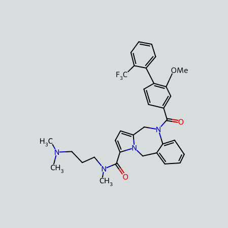 COc1cc(C(=O)N2Cc3ccc(C(=O)N(C)CCCN(C)C)n3Cc3ccccc32)ccc1-c1ccccc1C(F)(F)F